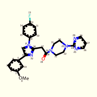 COc1cccc(-c2cn(-c3ccc(F)cc3)c(CC(=O)N3CCN(c4ncccn4)CC3)n2)c1